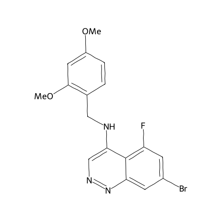 COc1ccc(CNc2cnnc3cc(Br)cc(F)c23)c(OC)c1